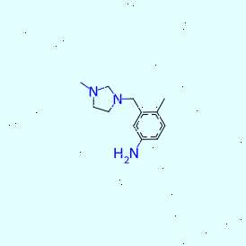 Cc1ccc(N)cc1CN1CCN(C)C1